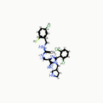 C=C(/N=C\c1nc(-c2c(Cl)cccc2Cl)n(CC2CCNC2)c1N)NCc1cc(Cl)ccc1F